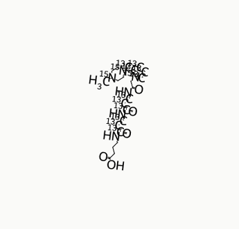 C[15N]1CC[15N]([13CH2][13CH]2[13CH2][13CH2][13CH2][15N]2CC(=O)N[13CH2][13CH2][13C](=O)N[13CH2][13CH2][13C](=O)NCCCC(=O)O)CC1